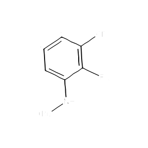 CC(C)(C)Nc1cccc(C(F)(F)F)c1F